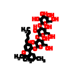 CCCCCc1cc(O[C@@H]2O[C@H](CO)[C@@H](O)[C@H](O[C@@H]3O[C@H](CO)[C@@H](O)[C@H](O[C@@H]4O[C@H](CO)[C@@H](O)[C@H](O)[C@H]4O)[C@H]3O)[C@H]2O)c2c(c1)OC(C)(C)c1ccc(C)cc1-2